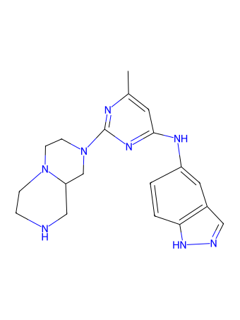 Cc1cc(Nc2ccc3[nH]ncc3c2)nc(N2CCN3CCNCC3C2)n1